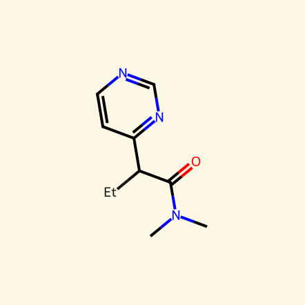 CCC(C(=O)N(C)C)c1ccncn1